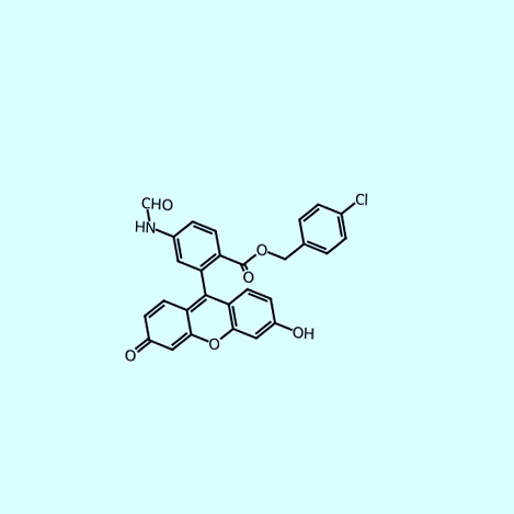 O=CNc1ccc(C(=O)OCc2ccc(Cl)cc2)c(-c2c3ccc(=O)cc-3oc3cc(O)ccc23)c1